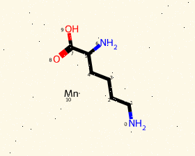 NCCCCC(N)C(=O)O.[Mn]